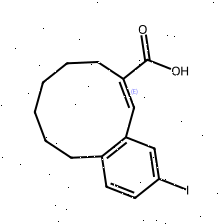 O=C(O)/C1=C/c2cc(I)ccc2CCCCCC1